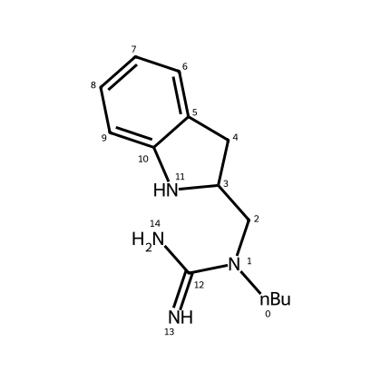 CCCCN(CC1Cc2ccccc2N1)C(=N)N